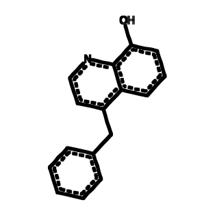 Oc1cccc2c(Cc3ccccc3)ccnc12